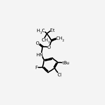 C=C(OC(=O)Nc1cc(C(C)(C)C)c(Cl)cc1F)C(C)(C)CC